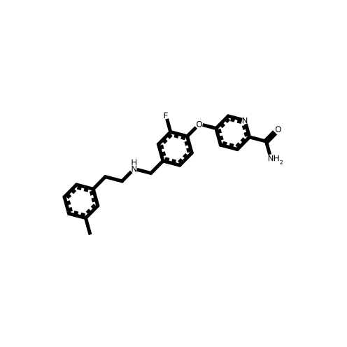 Cc1cccc(CCNCc2ccc(Oc3ccc(C(N)=O)nc3)c(F)c2)c1